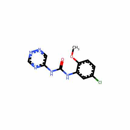 COc1ccc(Cl)cc1NC(=O)Nc1cnncn1